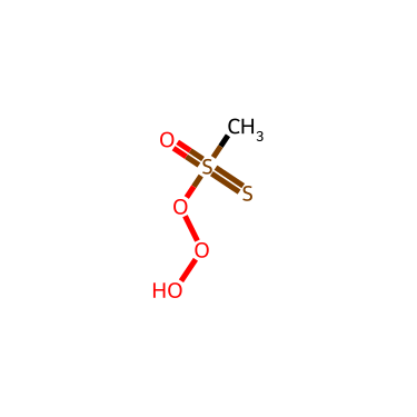 CS(=O)(=S)OOO